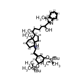 C[C@H](CCCC(O)c1nc2ccccc2n1C)[C@H]1CC[C@H]2/C(=C/C=C3CC(O[Si](C)(C)C(C)(C)C)CC(O[Si](C)(C)C(C)(C)C)C3)CCC[C@]12C